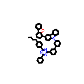 CCCCc1ccc(-c2nc(-c3ccccc3)nc(-c3cccc(-c4cccc(-n5c6ccccc6c6cc(-c7cccc8c7oc7ccccc78)ccc65)c4)c3)n2)cc1